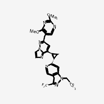 COc1ncc(-c2cc([C@H]3C[C@@H]3c3cc4c(cn3)c(C(F)(F)F)nn4CC(F)(F)F)c3nccn3n2)c(OC)n1